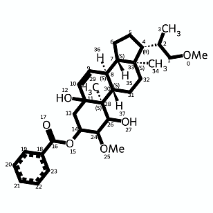 COCC(C)[C@H]1CC[C@H]2[C@@H]3C=CC4(O)CC(OC(=O)c5ccccc5)C(OC)C(O)[C@]4(C)[C@H]3CC[C@]12C